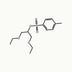 CCOCC(COCC)OS(=O)(=O)c1ccc(C)cc1